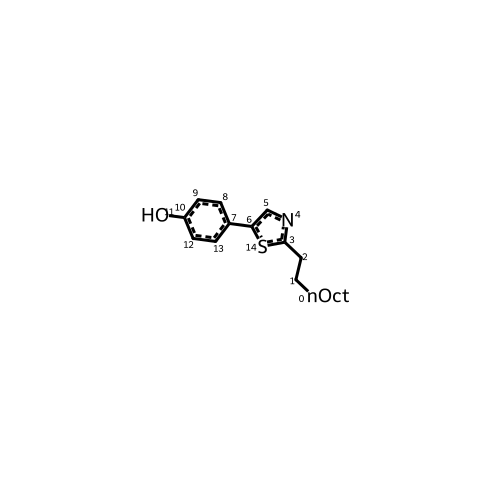 CCCCCCCCCCc1ncc(-c2ccc(O)cc2)s1